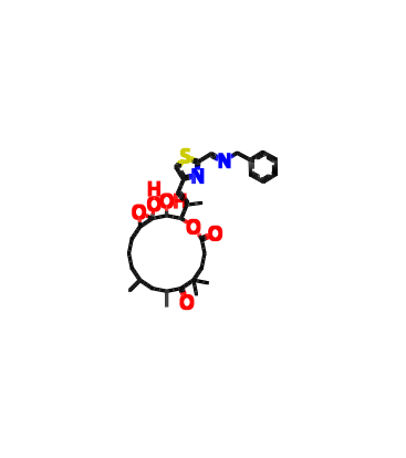 CC(=Cc1csc(C=NCc2ccccc2)n1)C1OC(=O)CCC(C)(C)C(=O)C(C)CC(C)CCCC2OC2(O)C1O